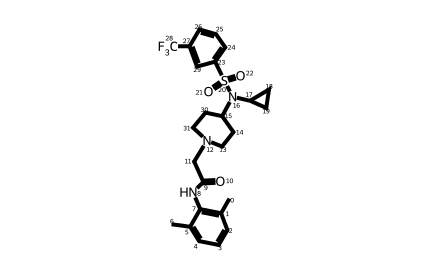 Cc1cccc(C)c1NC(=O)CN1CCC(N(C2CC2)S(=O)(=O)c2cccc(C(F)(F)F)c2)CC1